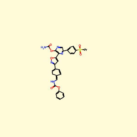 CC(C)S(=O)(=O)c1ccc(-c2cnc(OC(N)=O)c(-c3cc(C4=CCC(=CNC(=O)Oc5ccccc5)C=C4)no3)n2)cc1